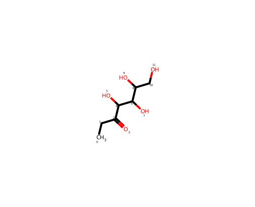 CCC(=O)C(O)C(O)C(O)CO